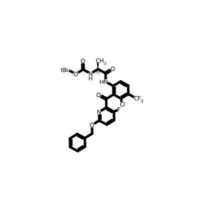 C[C@H](NC(=O)OC(C)(C)C)C(=O)Nc1ccc(C(F)(F)F)c(Cl)c1C(=O)c1nc(OCc2ccccc2)ccc1F